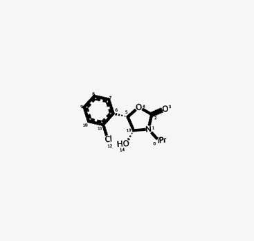 CC(C)N1C(=O)O[C@@H](c2ccccc2Cl)[C@H]1O